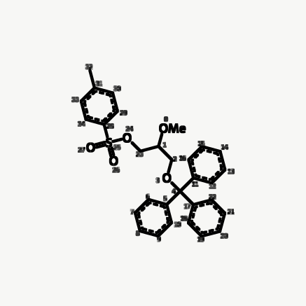 COC(COC(c1ccccc1)(c1ccccc1)c1ccccc1)COS(=O)(=O)c1ccc(C)cc1